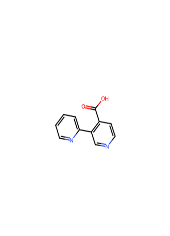 O=C(O)c1ccncc1-c1ccccn1